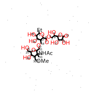 CCC1OC(C(=O)OCC(O)C2OC(=O)C(O)C2O)C(COCC2OC(CO)C(O)C(COC)C2(C)NC(C)=O)C(O)C1O